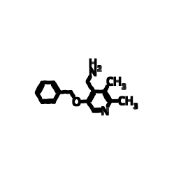 Cc1ncc(OCc2ccccc2)c(CN)c1C